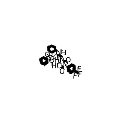 O=C(CNC(=O)N(C(=O)O)c1ccc(C(F)(F)F)cc1)N[C@H]1CCCC[C@H]1CS(=O)(=O)c1ccccc1